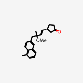 COC(C)(/C=C/[C@H]1CCC(=O)C1)Cc1ccc2c(C)cccc2c1